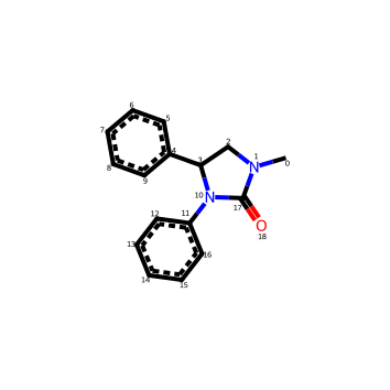 CN1CC(c2ccccc2)N(c2ccccc2)C1=O